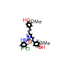 COc1cc(/C=C/c2cc(/C=C/c3ccc(O)c(OC)c3)n(C(=O)Nc3ccc(F)c(Cl)c3)n2)ccc1O